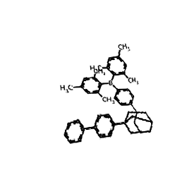 Cc1cc(C)c(B(c2ccc(C34CC5CC(C3)CC(c3ccc(-c6ccccc6)cc3)(C5)C4)cc2)c2c(C)cc(C)cc2C)c(C)c1